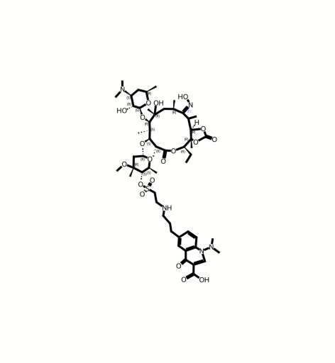 CC[C@H]1OC(=O)[C@H](C)[C@@H](O[C@H]2C[C@@](C)(OC)[C@@H](OS(=O)(=O)CCNCCCc3ccc4c(c3)c(=O)c(C(=O)O)cn4N(C)C)[C@H](C)O2)[C@H](C)[C@@H](O[C@@H]2O[C@H](C)C[C@H](N(C)C)[C@H]2O)[C@](C)(O)C[C@@H](C)/C(=N\O)C(C)[C@H]2OC(=O)O[C@@]21C